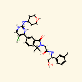 Cc1cccc([C@@H](CO)NC(=O)CN2C(=O)c3cc(-c4nc(NC5CCOCC5)ncc4Cl)ccc3C2(C)C)c1